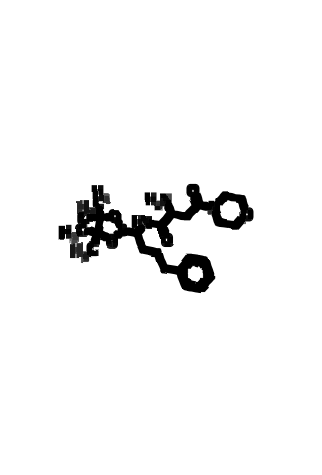 CC1(C)OB(C(CCCc2ccccc2)NC(=O)C(N)CC(=O)N2CCOCC2)OC1(C)C